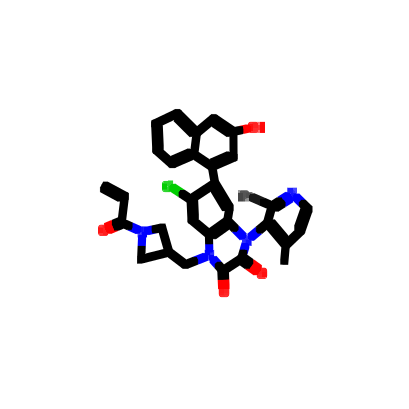 C=CC(=O)N1CC(Cn2c(=O)c(=O)n(-c3c(C)ccnc3C(C)C)c3cc(-c4cc(O)cc5ccccc45)c(Cl)cc32)C1